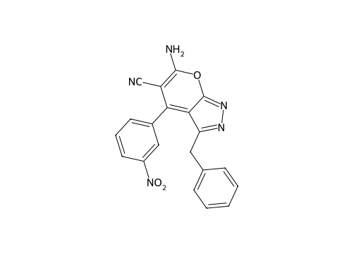 N#Cc1c(N)oc2nnc(Cc3ccccc3)c-2c1-c1cccc([N+](=O)[O-])c1